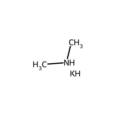 CNC.[KH]